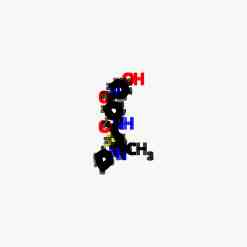 Cc1nn(C2CCCCC2)c2sc(C(=O)N[C@H]3CC[C@H](C(=O)N4CCC(O)CC4)CC3)cc12